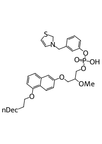 CCCCCCCCCCCCOc1cccc2cc(OCC(COP(=O)(O)Oc3cccc(CN4C=CSC4)c3)OC)ccc12